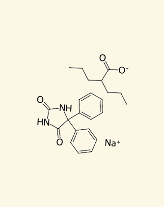 CCCC(CCC)C(=O)[O-].O=C1NC(=O)C(c2ccccc2)(c2ccccc2)N1.[Na+]